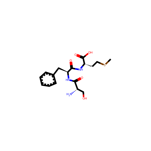 CSCC[C@H](NC(=O)[C@H](Cc1ccccc1)NC(=O)[C@@H](N)CO)C(=O)O